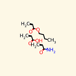 C=CC(=O)O.C=CC(=O)OCCCC.C=CC(N)=O